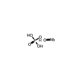 O=P(O)(O)O.[O]=[Nb]